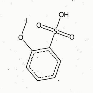 O=S(=O)(O)c1ccccc1OI